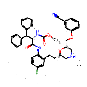 COC(=O)N[C@H](C(=O)Nc1ccc(F)cc1CC[C@@H]1CNC[C@@H](COc2cccc(C#N)c2)O1)C(c1ccccc1)c1ccccc1